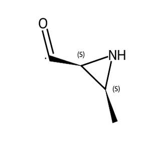 C[C@@H]1N[C@@H]1[C]=O